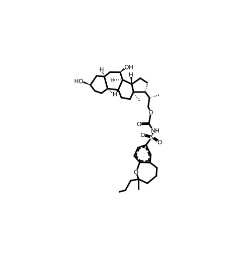 CCCC1(C)CCCc2cc(S(=O)(=O)NC(=O)OC[C@@H](C)[C@H]3CC[C@H]4[C@@H]5[C@H](O)C[C@@H]6C[C@H](O)CC[C@]6(C)[C@H]5CC[C@]34C)ccc2O1